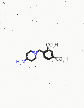 NC1CCN(Cc2ccc(C(=O)O)cc2C(=O)O)CC1